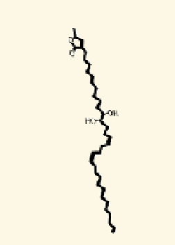 CCCCCCCCCCCC/C=C\CC/C=C\CC[C@H](O)[C@@H](O)CCCCCCCCCCC1=CC(C)OC1=O